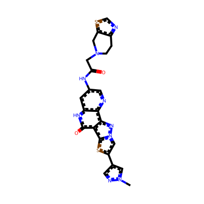 Cn1cc(-c2cn3nc4c5ncc(NC(=O)CN6CCc7ncsc7C6)cc5[nH]c(=O)c4c3s2)cn1